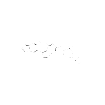 COc1nc(N[C@@H]2CCN(C3(C)COC3)CC2(F)F)nn2cc(F)c(-c3cnc4nccn4c3)c12